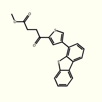 COC(=O)CCC(=O)c1cc(-c2cccc3c2sc2ccccc23)cs1